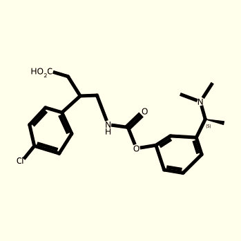 C[C@@H](c1cccc(OC(=O)NCC(CC(=O)O)c2ccc(Cl)cc2)c1)N(C)C